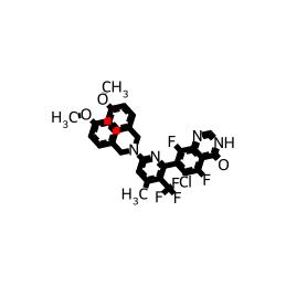 COc1ccc(CN(Cc2ccc(OC)cc2)c2cc(C)c(C(F)(F)F)c(-c3c(Cl)c(F)c4c(=O)[nH]cnc4c3F)n2)cc1